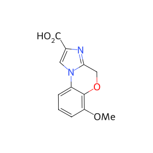 COc1cccc2c1OCc1nc(C(=O)O)cn1-2